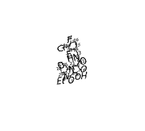 CCN1C(=O)c2c(O)c(=O)c(C(=O)NCc3ccc(F)c(Cl)c3F)cn2C2COCCC21